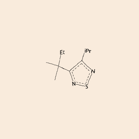 CCC(C)(C)c1nsnc1C(C)C